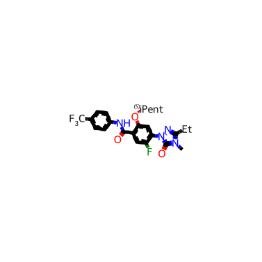 CCC[C@H](C)Oc1cc(-n2nc(CC)n(C)c2=O)c(F)cc1C(=O)Nc1ccc(C(F)(F)F)cc1